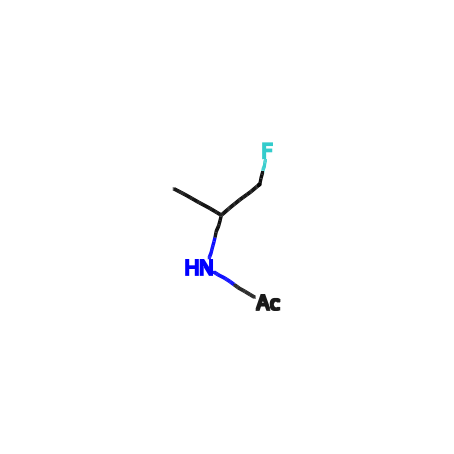 CC(=O)NC(C)CF